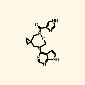 O=C(c1c[nH]cn1)N1CCN(c2ncnc3[nH]ccc23)CC2(CC2)C1